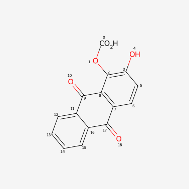 O=C(O)Oc1c(O)ccc2c1C(=O)c1ccccc1C2=O